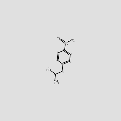 CC(O)Cc1ccc([N+]([O-])=S)cc1